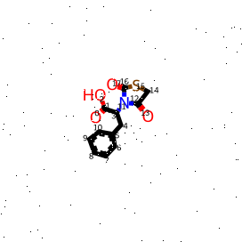 O=C(O)C(Cc1ccccc1)N1C(=O)CSC1=O